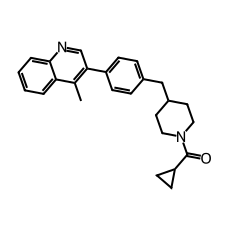 Cc1c(-c2ccc(CC3CCN(C(=O)C4CC4)CC3)cc2)cnc2ccccc12